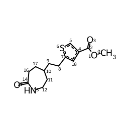 COC(=O)c1csc(CCC2CCNC(=O)CC2)c1